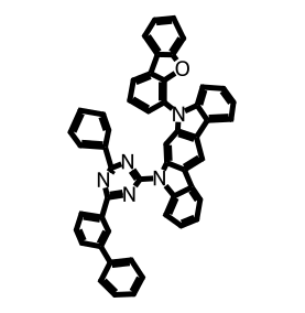 c1ccc(-c2cccc(-c3nc(-c4ccccc4)nc(-n4c5ccccc5c5cc6c7ccccc7n(-c7cccc8c7oc7ccccc78)c6cc54)n3)c2)cc1